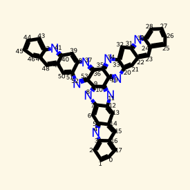 c1ccc2nc3cc4nc5c(nc4cc3cc2c1)c1nc2cc3cc4ccccc4nc3cc2nc1c1nc2cc3nc4ccccc4cc3cc2nc51